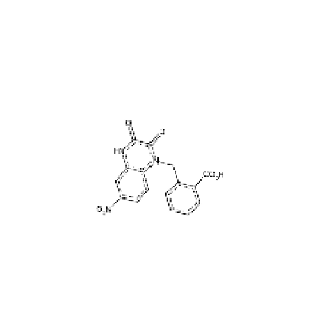 O=C(O)c1ccccc1Cn1c(=O)c(=O)[nH]c2cc([N+](=O)[O-])ccc21